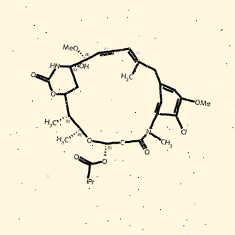 COc1cc2cc(c1Cl)N(C)C(=O)C[C@H](OC(=O)C(C)C)O[C@H](C)[C@H](C)C1C[C@@](O)(NC(=O)O1)[C@H](OC)/C=C/C=C(\C)C2